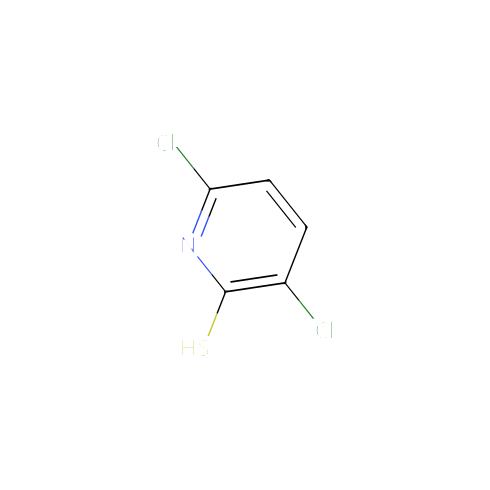 Sc1nc(Cl)ccc1Cl